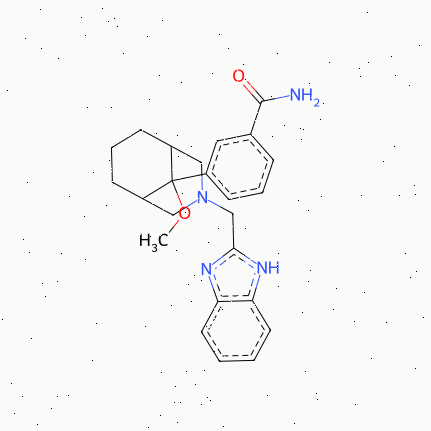 COC1(c2cccc(C(N)=O)c2)C2CCCC1CN(Cc1nc3ccccc3[nH]1)C2